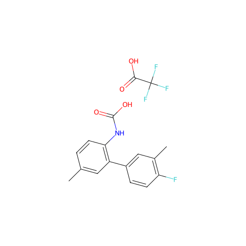 Cc1ccc(NC(=O)O)c(-c2ccc(F)c(C)c2)c1.O=C(O)C(F)(F)F